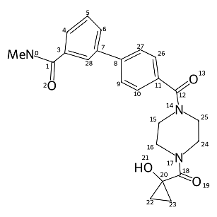 CNC(=O)c1cccc(-c2ccc(C(=O)N3CCN(C(=O)C4(O)CC4)CC3)cc2)c1